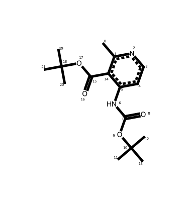 Cc1nccc(NC(=O)OC(C)(C)C)c1C(=O)OC(C)(C)C